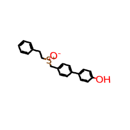 [O-][S+](CCc1ccccc1)Cc1ccc(-c2ccc(O)cc2)cc1